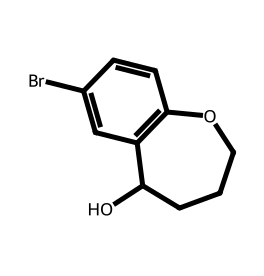 OC1CCCOc2ccc(Br)cc21